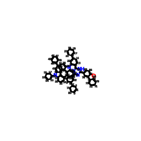 c1ccc(-c2cccc(C3=NC(c4ccc(-c5ccccc5)cc4-n4c5ccccc5c5c(-c6cccc7c6c6ccc(-c8ccccc8)cc6n7-c6ccccc6)cccc54)NC(c4ccc5oc6ccccc6c5c4)=N3)c2)cc1